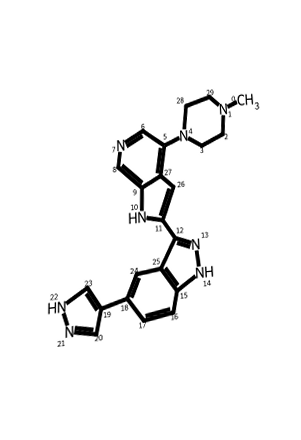 CN1CCN(c2cncc3[nH]c(-c4n[nH]c5ccc(-c6cn[nH]c6)cc45)cc23)CC1